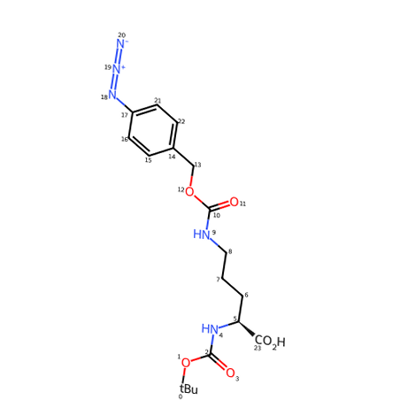 CC(C)(C)OC(=O)N[C@@H](CCCNC(=O)OCc1ccc(N=[N+]=[N-])cc1)C(=O)O